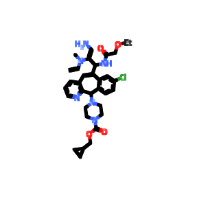 C=CN(C)/C(=C\N)C(NC(=O)COCC)C1=Cc2cccnc2C(N2CCN(C(=O)OCC3CC3)CC2)c2ccc(Cl)cc21